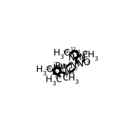 CC[C@H](C)C1CN(c2nc(=O)n(C)c3ccc(C)nc23)CCN1C(C)c1ccc(C)cc1C